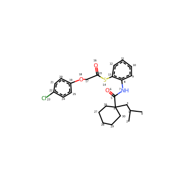 CC(C)CC1(C(=O)Nc2ccccc2SC(=O)COc2ccc(Cl)cc2)CCCCC1